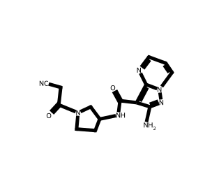 N#CCC(=O)N1CCC(NC(=O)c2c(N)nn3cccnc23)C1